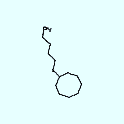 [CH2]CCCCSC1CCCCCCC1